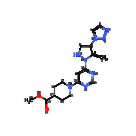 C=C1C(n2ccnn2)=CNN1c1cc(N2CCC(C(=O)OC)CC2)ncn1